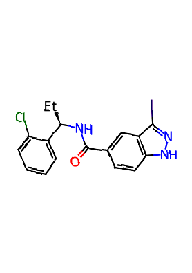 CC[C@@H](NC(=O)c1ccc2[nH]nc(I)c2c1)c1ccccc1Cl